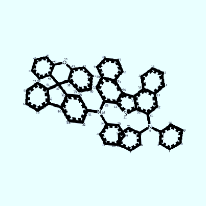 c1ccc(N(c2ccccc2)c2cc3ccccc3c3c2sc2c(N(c4ccccc4)c4ccc5c(c4)C4(c6ccccc6Oc6ccccc64)c4ccccc4-5)cc4ccccc4c23)cc1